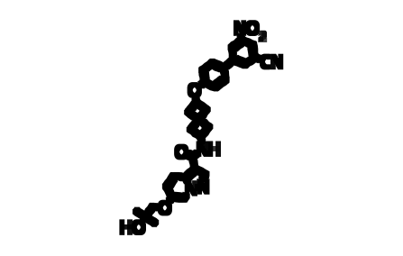 CC(C)(O)COc1ccc2c(C(=O)NC3CC4(C3)CC(Oc3ccc(-c5cc(C#N)cc([N+](=O)[O-])c5)cc3)C4)cnn2c1